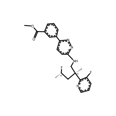 COC(=O)c1cccc(-c2ccc(NC[C@](C)(C[C@H](C)F)c3ncccc3F)nn2)c1